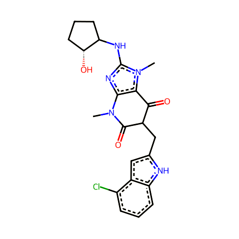 CN1C(=O)C(Cc2cc3c(Cl)cccc3[nH]2)C(=O)c2c1nc(NC1CCC[C@H]1O)n2C